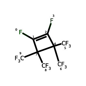 FC1=C(F)C(C(F)(F)F)(C(F)(F)F)C1(C(F)(F)F)C(F)(F)F